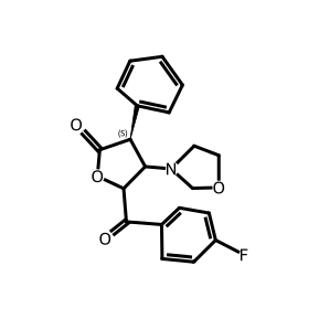 O=C(c1ccc(F)cc1)C1OC(=O)[C@@H](c2ccccc2)C1N1CCOC1